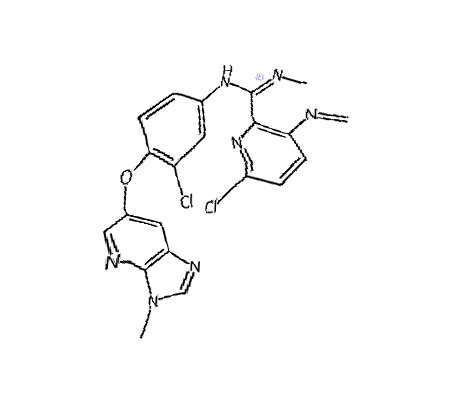 C=Nc1ccc(Cl)nc1/C(=N\C)Nc1ccc(Oc2cnc3c(c2)ncn3C)c(Cl)c1